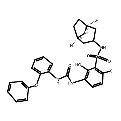 O=C(Nc1ccccc1Oc1ccccc1)Nc1ccc(Cl)c(S(=O)(=O)NC2C[C@H]3CC[C@@H](C2)N3)c1O